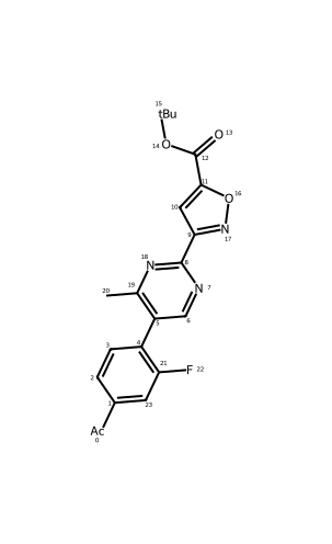 CC(=O)c1ccc(-c2cnc(-c3cc(C(=O)OC(C)(C)C)on3)nc2C)c(F)c1